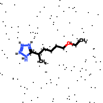 [CH2]COCCCCC(C)c1nnn[nH]1